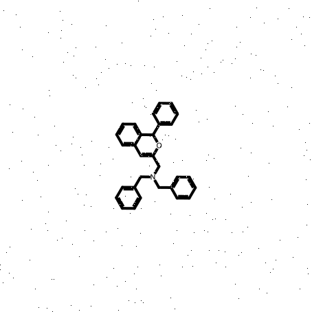 C1=C(CN(Cc2ccccc2)Cc2ccccc2)OC(c2ccccc2)c2ccccc21